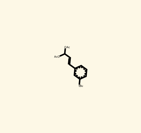 CC(=O)OC(C=Cc1cccc(C(C)(C)C)c1)OC(C)=O